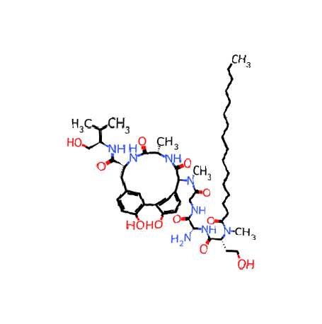 CCCCCCCCCCCCCCCC(=O)N(C)[C@H](CCO)C(=O)N[C@H](N)C(=O)NCC(=O)N(C)[C@@H]1C(=O)N[C@@H](C)C(=O)N[C@H](C(=O)N[C@@H](CO)C(C)C)Cc2ccc(O)c(c2)-c2cc1ccc2O